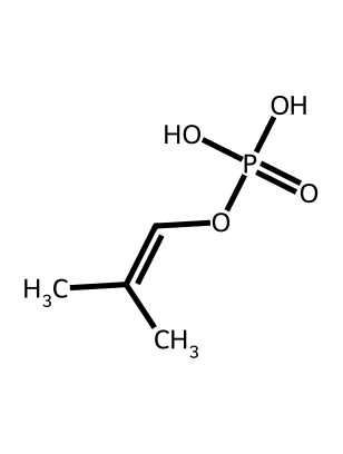 CC(C)=COP(=O)(O)O